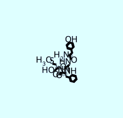 CSCC[C@H](NC(=O)[C@H](Cc1ccccc1)NC(=O)CNC(=O)[C@@H](N)Cc1ccc(O)cc1)C(=O)O